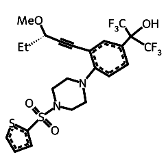 CC[C@@H](C#Cc1cc(C(O)(C(F)(F)F)C(F)(F)F)ccc1N1CCN(S(=O)(=O)c2cccs2)CC1)OC